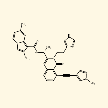 Cc1ccn2nc(N)c(C(=O)N[C@H](C)c3cc4cccc(C#Cc5cnn(C)c5)c4c(=O)n3CCc3c[nH]cn3)c2n1